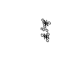 c1ccc(-c2nc(-c3ccccc3)nc(-c3cccc(-c4ccc5c(c4)C4(c6ccc(-c7nc(-c8ccccc8)nc(-c8ccccc8)n7)cc6-5)C5CC6CC(C5)CC4C6)c3)n2)cc1